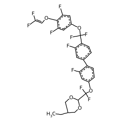 CCC1COC(C(F)(F)Oc2ccc(-c3ccc(C(F)(F)Oc4cc(F)c(OC=C(F)F)c(F)c4)c(F)c3)c(F)c2)OC1